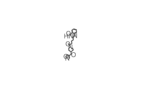 O=C(c1cnoc1)C1CCN(C(=O)CCCc2nc3ccccc3c(=O)[nH]2)CC1